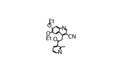 CCOc1cc2ncc(C#N)c(CC(=O)c3cccnc3C)c2cc1OCC